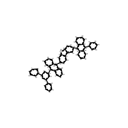 c1ccc(-c2cc(-c3ccccc3)cc(-c3c4ccccc4c(-c4ccc5c(c4)oc4ccc(-c6c7ccccc7c(-c7ccccc7)c7ccccc67)cc45)c4ccccc34)c2)cc1